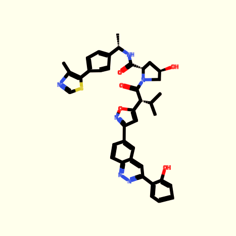 Cc1ncsc1-c1ccc([C@H](C)NC(=O)[C@@H]2C[C@@H](O)CN2C(=O)[C@@H](c2cc(-c3ccc4nnc(-c5ccccc5O)cc4c3)no2)C(C)C)cc1